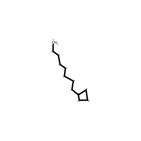 CCCCCCC[CH]C1CCC1